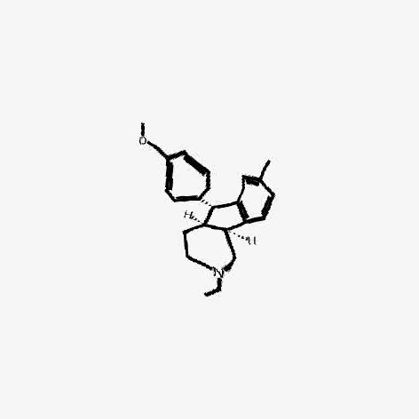 CCN1CC[C@H]2[C@H](c3ccc(OC)cc3)c3cc(C)ccc3[C@H]2C1